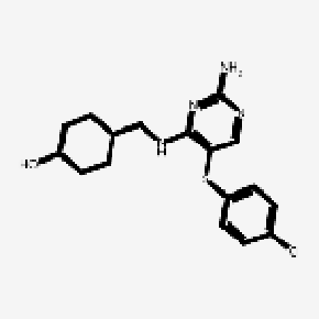 Nc1ncc(Sc2ccc(Cl)cc2)c(NCC2CCC(O)CC2)n1